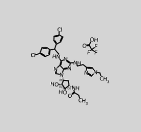 CCC(=O)N[C@H]1C[C@@H](n2cnc3c(NCC(c4ccc(Cl)cc4)c4ccc(Cl)cc4)nc(NCCc4cn(CC)cn4)nc32)[C@H](O)[C@@H]1O.O=C(O)C(F)(F)F